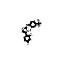 Fc1ccc(-c2csc(=Nc3ccc(C(F)(F)F)cc3)[nH]2)c(F)c1